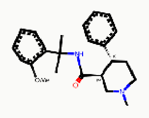 COc1ccccc1C(C)(C)NC(=O)[C@@H]1CN(C)CC[C@H]1c1ccccc1